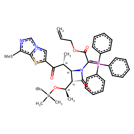 C=CCOC(=O)C(N1C(=O)[C@H]([C@@H](C)O[Si](C)(C)C(C)(C)C)[C@H]1[C@@H](C)C(=O)c1cn2cnc(SC)c2s1)=P(c1ccccc1)(c1ccccc1)c1ccccc1